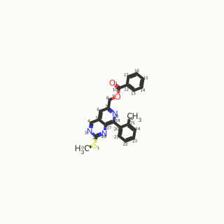 CSc1ncc2cc(COC(=O)c3ccccc3)nc(-c3ccccc3C)c2n1